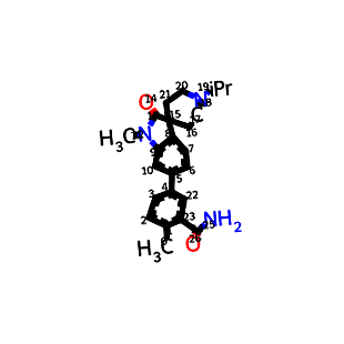 Cc1ccc(-c2ccc3c(c2)N(C)C(=O)C32CCN(C(C)C)CC2)cc1C(N)=O